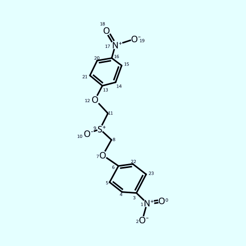 O=[N+]([O-])c1ccc(OC[S+]([O-])COc2ccc([N+](=O)[O-])cc2)cc1